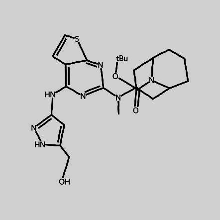 CN(c1nc(Nc2cc(CO)[nH]n2)c2ccsc2n1)C1CC2CCCC(C1)N2C(=O)OC(C)(C)C